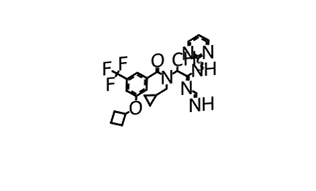 CC(/C(=N/C=N)Nc1ncccn1)N(CC1CC1)C(=O)c1cc(OC2CCC2)cc(C(F)(F)F)c1